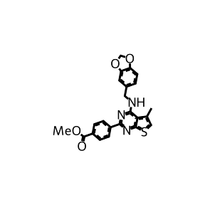 COC(=O)c1ccc(-c2nc(NCc3ccc4c(c3)OCO4)c3c(C)csc3n2)cc1